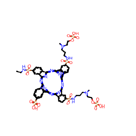 CCNS(=O)(=O)c1ccc2c(c1)-c1nc-2nc2[nH]c(nc3nc(nc4[nH]c(n1)c1ccc(S(=O)(=O)O)cc41)-c1ccc(S(=O)(=O)NCCCN(C)CCOS(=O)(=O)O)cc1-3)c1ccc(S(=O)(=O)NCCCN(C)CCOS(=O)(=O)O)cc21